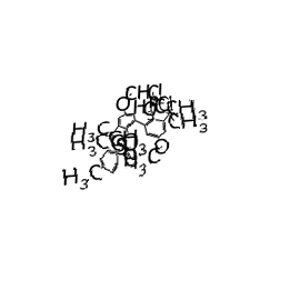 COc1cc(-c2cc(OC)cc(C(C)(C)C)c2OS(=O)(=O)c2ccc(C)cc2)c(OP(Cl)Cl)c(C(C)(C)C)c1